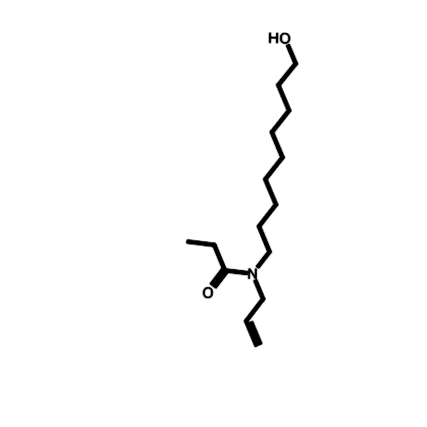 C=CCN(CCCCCCCCCO)C(=O)CC